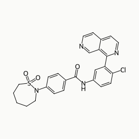 O=C(Nc1ccc(Cl)c(-c2nccc3ccncc23)c1)c1ccc(N2CCCCCS2(=O)=O)cc1